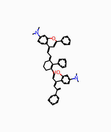 C=C(/C=C(/C=C/C1=C(c2ccccc2)C(=C/C=C2\C=C(c3ccccc3)Oc3cc(N(C)C)ccc32)/CCC1)c1ccc(N(C)C)cc1O)c1ccccc1